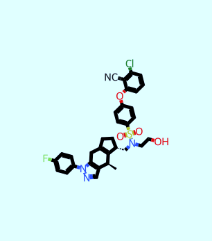 C[C@@H]1C2=C(CC[C@@H]2CN(CCO)S(=O)(=O)c2ccc(Oc3cccc(Cl)c3C#N)cc2)Cc2c1cnn2-c1ccc(F)cc1